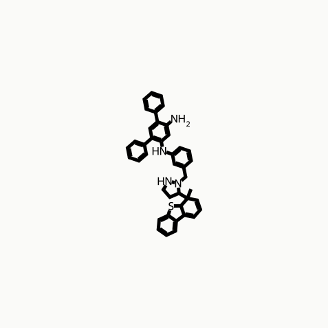 CC1(C2CCNN2Cc2cccc(Nc3cc(N)c(-c4ccccc4)cc3-c3ccccc3)c2)C=CC=C2c3ccccc3SC21